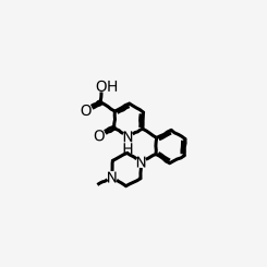 CN1CCN(c2ccccc2-c2ccc(C(=O)O)c(=O)[nH]2)CC1